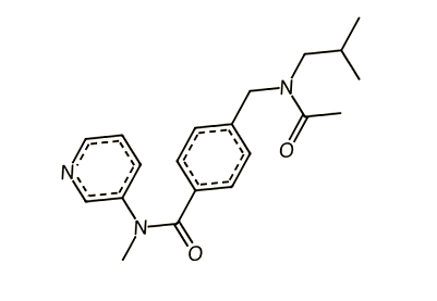 CC(=O)N(Cc1ccc(C(=O)N(C)c2cccnc2)cc1)CC(C)C